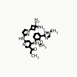 CCC(=O)c1cnc(Nc2ccn(C3CC(P)(P)C3)n2)cc1Nc1cccc(-c2ncn(C)n2)c1OC